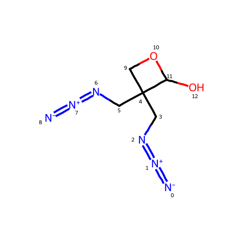 [N-]=[N+]=NCC1(CN=[N+]=[N-])COC1O